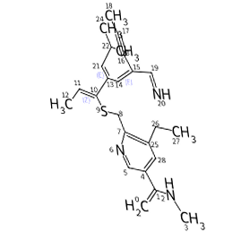 C=C(NC)c1cnc(CSC(=C\C)/C(/C=C(\C#CC)C=N)=C/C(C)C)c(CC)c1